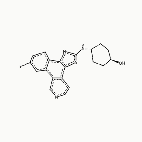 O[C@H]1CC[C@H](Nc2nc3c4ccc(F)cc4c4cnccc4c3s2)CC1